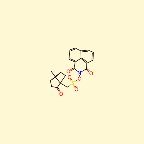 CC12C3CC(=O)C1(CS(=O)(=O)ON1C(=O)c4cccc5cccc(c45)C1=O)CC32